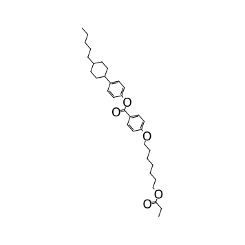 CCCCCC1CCC(c2ccc(OC(=O)c3ccc(OCCCCCCCOC(=O)CC)cc3)cc2)CC1